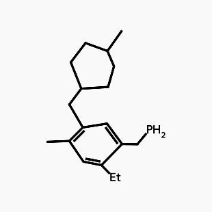 CCc1cc(C)c(CC2CCC(C)CC2)cc1CP